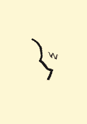 CCCCC.[W]